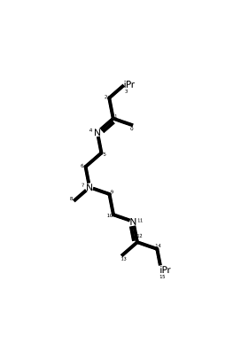 C/C(CC(C)C)=N\CCN(C)CC/N=C(\C)CC(C)C